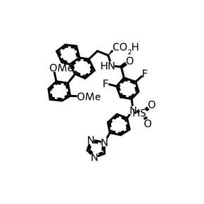 COc1cccc(OC)c1-c1ccc(C[C@H](NC(=O)c2c(F)cc(N(c3ccc(-n4cncn4)cc3)[SH](=O)=O)cc2F)C(=O)O)c2ccccc12